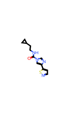 O=C(NCCC1CC1)n1cnc(-c2ccns2)c1